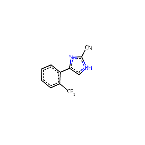 N#Cc1nc(-c2ccccc2C(F)(F)F)c[nH]1